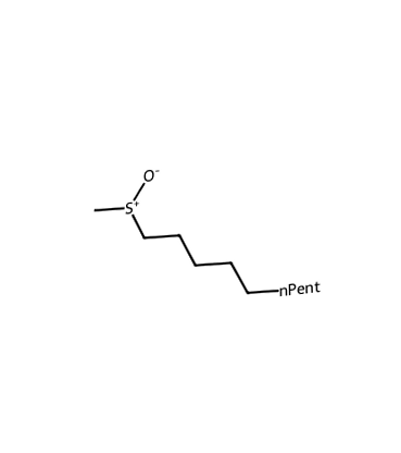 [CH2]CCCCCCCCC[S+](C)[O-]